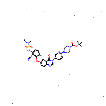 CCN(C)S(=O)(=O)Nc1ccc(F)c(Oc2ccc3ncn(-c4ccc(N5CCN(C(=O)OC(C)(C)C)CC5)nc4)c(=O)c3c2)c1C#N